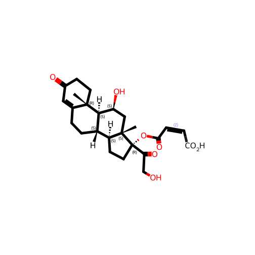 C[C@]12CCC(=O)C=C1CC[C@@H]1[C@@H]2[C@@H](O)C[C@@]2(C)[C@H]1CC[C@]2(OC(=O)/C=C\C(=O)O)C(=O)CO